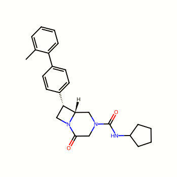 Cc1ccccc1-c1ccc([C@H]2CN3C(=O)CN(C(=O)NC4CCCC4)C[C@@H]23)cc1